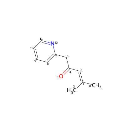 CC(C)=CC(=O)Cc1ccccn1